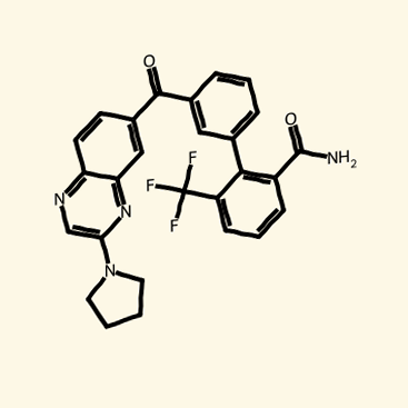 NC(=O)c1cccc(C(F)(F)F)c1-c1cccc(C(=O)c2ccc3ncc(N4CCCC4)nc3c2)c1